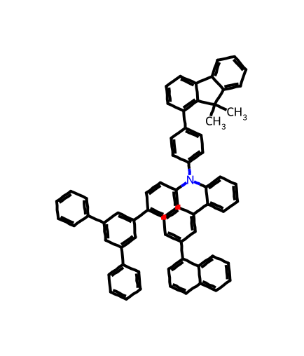 CC1(C)c2ccccc2-c2cccc(-c3ccc(N(c4ccc(-c5cc(-c6ccccc6)cc(-c6ccccc6)c5)cc4)c4ccccc4-c4cccc(-c5cccc6ccccc56)c4)cc3)c21